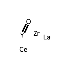 [Ce].[La].[O]=[Y].[Zr]